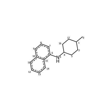 CC1CCC(Nc2cccc3ccccc23)CC1